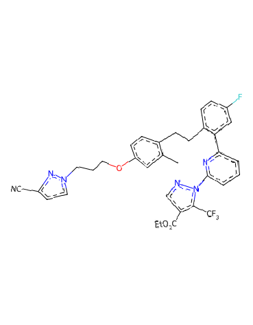 CCOC(=O)c1cnn(-c2cccc(-c3cc(F)ccc3CCc3ccc(OCCCn4ccc(C#N)n4)cc3C)n2)c1C(F)(F)F